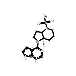 CC(C)S(=O)(=O)N1CCC[C@@H]2C1CCN2c1ncnc2[nH]ccc12